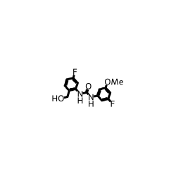 COc1cc(F)cc(NC(=O)Nc2cc(F)ccc2CO)c1